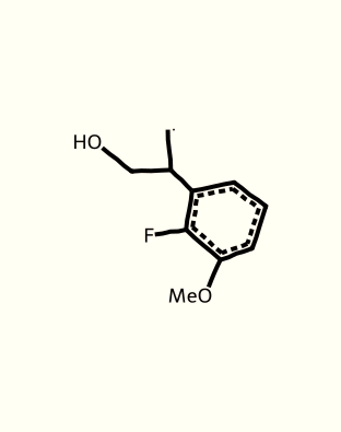 [CH2]C(CO)c1cccc(OC)c1F